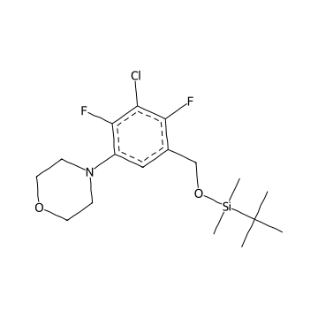 CC(C)(C)[Si](C)(C)OCc1cc(N2CCOCC2)c(F)c(Cl)c1F